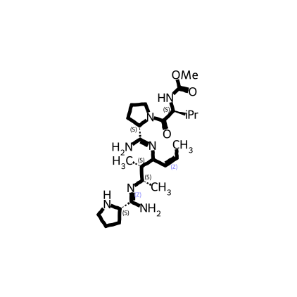 C/C=C\C(N=C(N)[C@@H]1CCCN1C(=O)[C@@H](NC(=O)OC)C(C)C)[C@@H](C)[C@H](C)/N=C(\N)[C@@H]1CCCN1